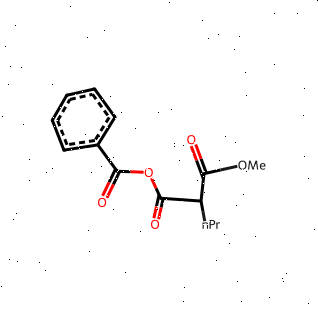 CCCC(C(=O)OC)C(=O)OC(=O)c1ccccc1